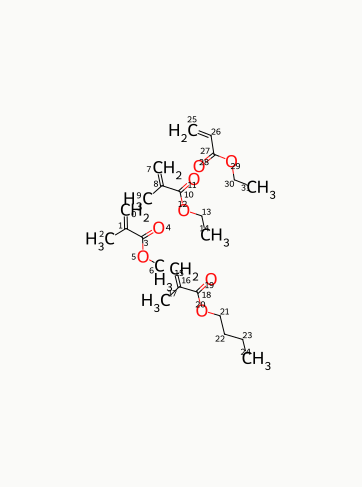 C=C(C)C(=O)OC.C=C(C)C(=O)OCC.C=C(C)C(=O)OCCCC.C=CC(=O)OCC